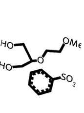 COCCOC(CO)CO.O=S(=O)(O)c1ccccc1